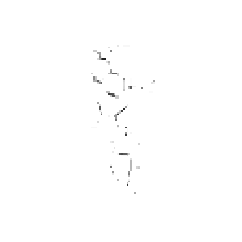 Nc1ncc2c(n1)CCN(c1cc3c(cc1F)c(=O)c(C(=O)O)cn3C1CC1)C2